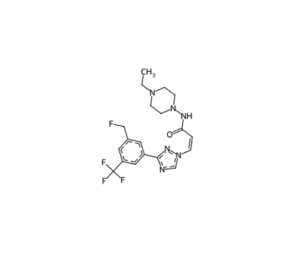 CCN1CCN(NC(=O)/C=C\n2cnc(-c3cc(CF)cc(C(F)(F)F)c3)n2)CC1